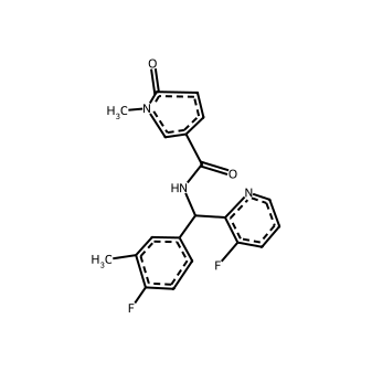 Cc1cc(C(NC(=O)c2ccc(=O)n(C)c2)c2ncccc2F)ccc1F